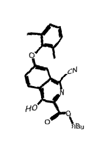 CCCCOC(=O)c1nc(C#N)c2cc(Oc3c(C)cccc3C)ccc2c1O